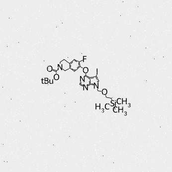 CC(C)(C)OC(=O)N1CCc2cc(F)c(Oc3ncnc4c3c(I)cn4COCC[Si](C)(C)C)cc2C1